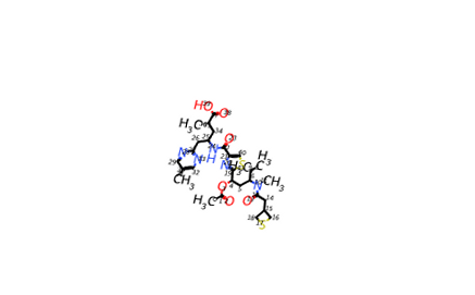 CC(=O)OC(CC(C(C)C)N(C)C(=O)CC1CSC1)c1nc(C(=O)NC(Cc2ncc(C)cn2)C[C@H](C)C(=O)O)cs1